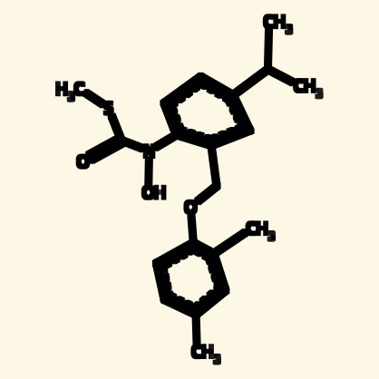 CSC(=O)N(O)c1ccc(C(C)C)cc1COc1ccc(C)cc1C